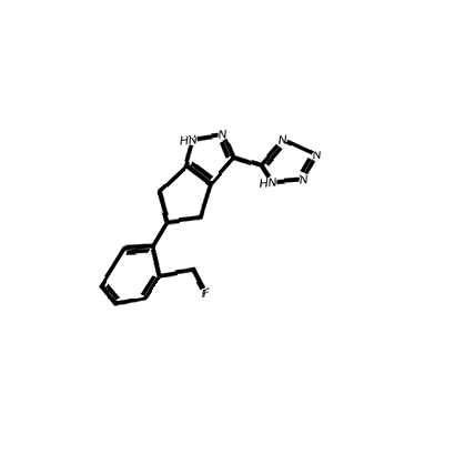 FCc1ccccc1C1Cc2[nH]nc(-c3nnn[nH]3)c2C1